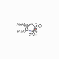 COCOc1cc(OC)cc2c1C(=O)O[C@@H](C)[C@H](C)/C=C\C(OC(=O)c1ccccc1)[C@H]1OC(C)(C)O[C@H]1C(OCOC)/C=C/2